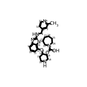 Cc1cc(CNc2nc3cccc(OC4CCNCC4)c3n2[C@@H]2CCCCN(C(=O)O)C2)ccn1